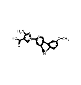 COc1ccc(F)c(-c2cnc(-n3cc(C(=O)O)c(N)n3)cc2C#N)c1